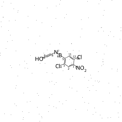 O=[N+]([O-])c1cc(Cl)c(/B=N/C#CO)cc1Cl